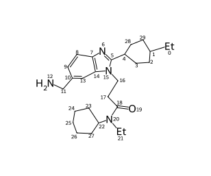 CCC1CCC(c2nc3ccc(CN)cc3n2CCC(=O)N(CC)C2CCCCC2)CC1